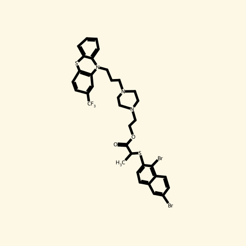 CC(Sc1ccc2cc(Br)ccc2c1Br)C(=O)OCCN1CCN(CCCN2c3ccccc3Sc3ccc(C(F)(F)F)cc32)CC1